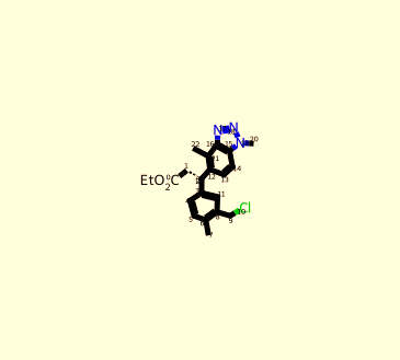 CCOC(=O)C[C@@H](c1ccc(C)c(CCl)c1)c1ccc2c(nnn2C)c1C